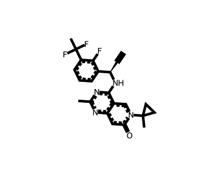 C#C[C@@H](Nc1nc(C)nc2cc(=O)n(C3(C)CC3)cc12)c1cccc(C(C)(F)F)c1F